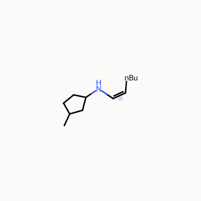 CCCC/C=C\NC1CCC(C)C1